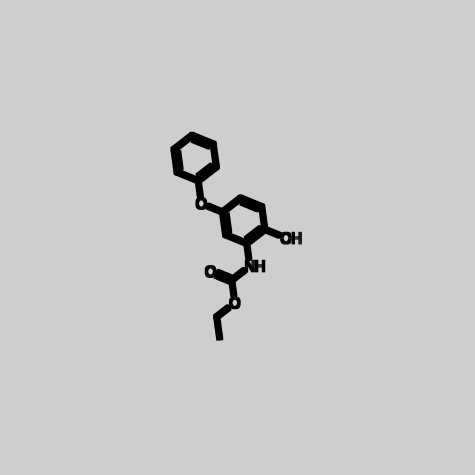 CCOC(=O)Nc1cc(Oc2ccccc2)ccc1O